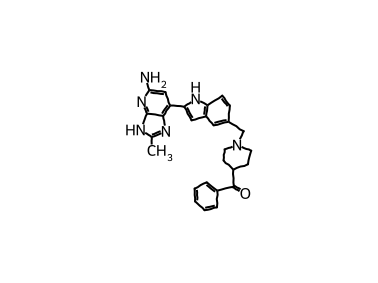 Cc1nc2c(-c3cc4cc(CN5CCC(C(=O)c6ccccc6)CC5)ccc4[nH]3)cc(N)nc2[nH]1